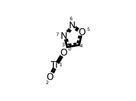 [O]=[Ti]=[O].c1conn1